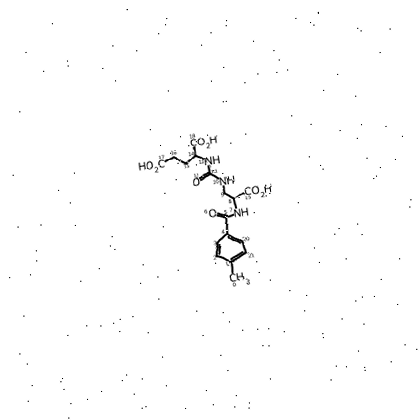 Cc1ccc(C(=O)N[C@@H](CNC(=O)N[C@@H](CCC(=O)O)C(=O)O)C(=O)O)cc1